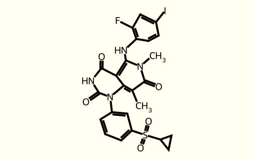 Cc1c(=O)n(C)c(Nc2ccc(I)cc2F)c2c(=O)[nH]c(=O)n(-c3cccc(S(=O)(=O)C4CC4)c3)c12